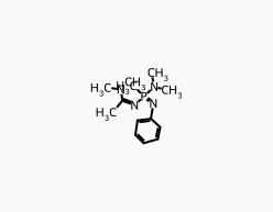 CC(=NP(C)(=Nc1ccccc1)N(C)C)N(C)C